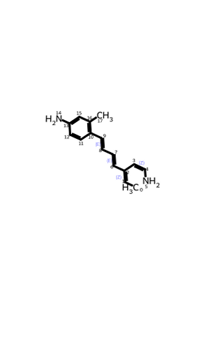 C/C=C(\C=C/N)/C=C/C=C/c1ccc(N)cc1C